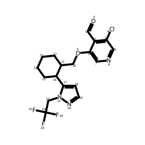 O=Cc1c(Cl)cncc1OCC1CCCCC1c1ccnn1CC(F)(F)F